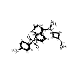 Cc1ccc(S(=O)(=O)n2ccc3c(N(C)[C@H]4C[C@@H](CO)C4)ncnc32)cc1